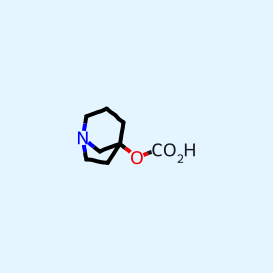 O=C(O)OC12CCCN(CC1)C2